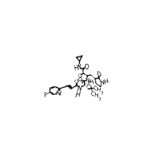 CC(C)(C)C[C@H](NC(=O)/C=C/c1ccc(F)cn1)C(=O)NC(C[C@@H]1CCNC1=O)C(=O)C(=O)NC1CC1